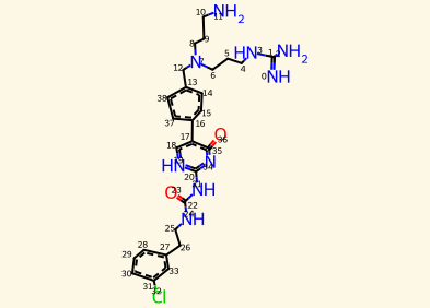 N=C(N)NCCCN(CCCN)Cc1ccc(-c2c[nH]c(NC(=O)NCCc3cccc(Cl)c3)nc2=O)cc1